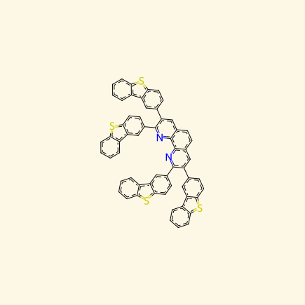 c1ccc2c(c1)sc1ccc(-c3cc4ccc5cc(-c6ccc7sc8ccccc8c7c6)c(-c6ccc7sc8ccccc8c7c6)nc5c4nc3-c3ccc4sc5ccccc5c4c3)cc12